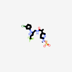 CC(C(=O)NCc1cc(C(F)(F)F)nn1-c1cccc(Cl)c1)c1ccc(N(C)O[SH](=O)=O)nc1